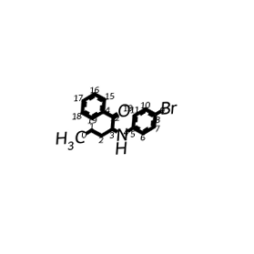 CCCC(Nc1ccc(Br)cc1)C(=O)c1ccccc1